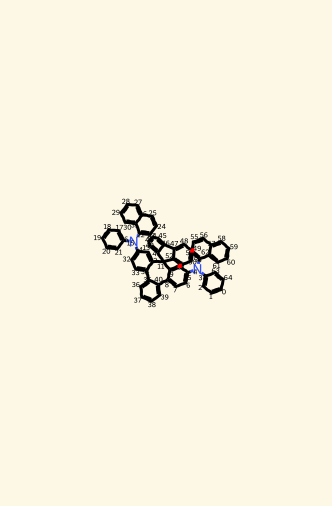 c1ccc(N(c2ccc3c(c2)C2(c4cc(N(c5ccccc5)c5cccc6ccccc56)ccc4-c4ccccc4-3)c3ccccc3-c3ccccc32)c2cccc3ccccc23)cc1